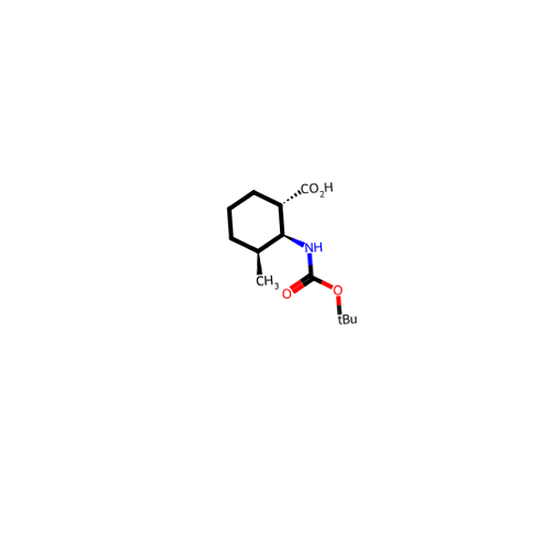 C[C@H]1CCC[C@H](C(=O)O)[C@H]1NC(=O)OC(C)(C)C